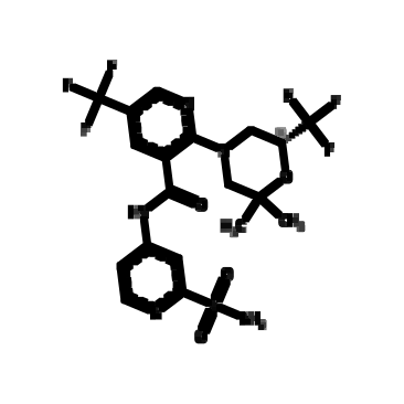 CC1(C)CN(c2ncc(C(F)(F)F)cc2C(=O)Nc2ccnc(S(N)(=O)=O)c2)C[C@H](C(F)(F)F)O1